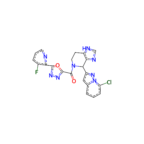 O=C(c1nnc(-c2ncccc2F)o1)N1CCc2[nH]cnc2C1c1cc2cccc(Cl)n2n1